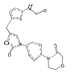 O=CNc1ccc(Cc2cn(-c3ccc(N4CCOCC4=O)cc3)c(=O)o2)s1